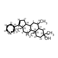 CC1CC2C(CC[C@]3(C)C(c4cccnc4)=CCC23)[C@@]2(C)CC[C@@](C)(O)CC12